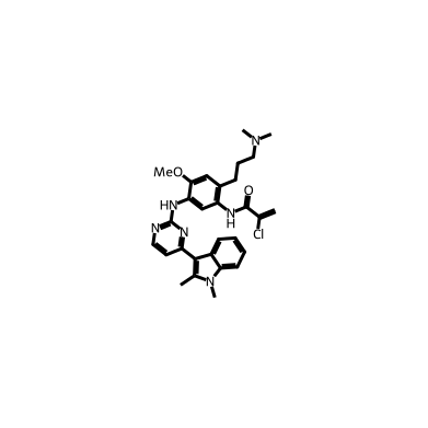 C=C(Cl)C(=O)Nc1cc(Nc2nccc(-c3c(C)n(C)c4ccccc34)n2)c(OC)cc1CCCN(C)C